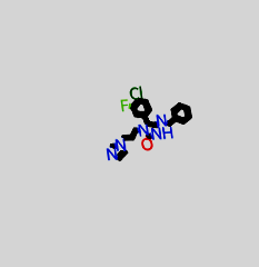 O=C1N/C(=N\Cc2ccccc2)C(c2ccc(Cl)c(F)c2)N1CCCn1ccnc1